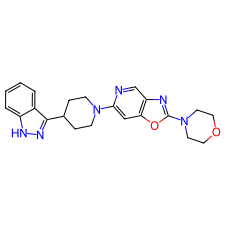 c1ccc2c(C3CCN(c4cc5oc(N6CCOCC6)nc5cn4)CC3)n[nH]c2c1